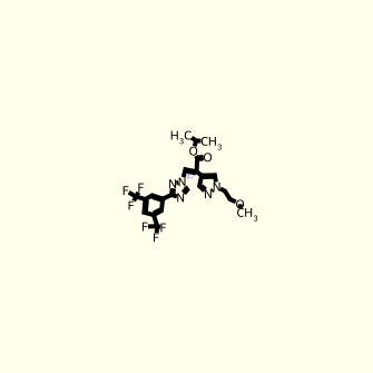 COCCn1cc(/C(=C\n2cnc(-c3cc(C(F)(F)F)cc(C(F)(F)F)c3)n2)C(=O)OC(C)C)cn1